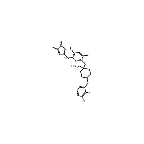 Cc1cc(Nc2nc(CC3(C(=O)O)CCN(Cc4cccc(Cl)c4F)CC3)c(F)cc2F)n[nH]1